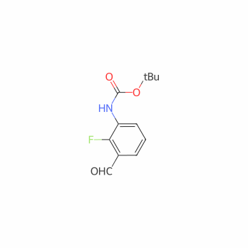 CC(C)(C)OC(=O)Nc1cccc(C=O)c1F